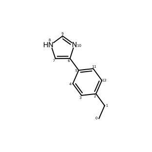 CCc1ccc(-c2c[nH][c]n2)cc1